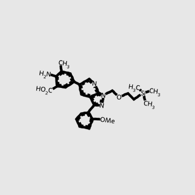 COc1ccccc1-c1nn(COCC[Si](C)(C)C)c2ncc(-c3cc(C)c(N)c(C(=O)O)c3)cc12